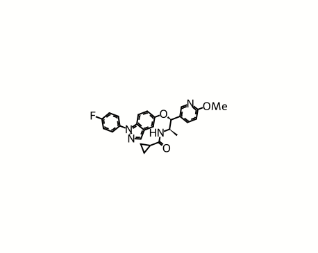 COc1ccc([C@H](Oc2ccc3c(cnn3-c3ccc(F)cc3)c2)[C@@H](C)NC(=O)C2CC2)cn1